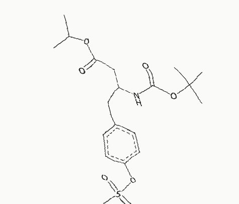 CC(C)OC(=O)CC(Cc1ccc(OS(C)(=O)=O)cc1)NC(=O)OC(C)(C)C